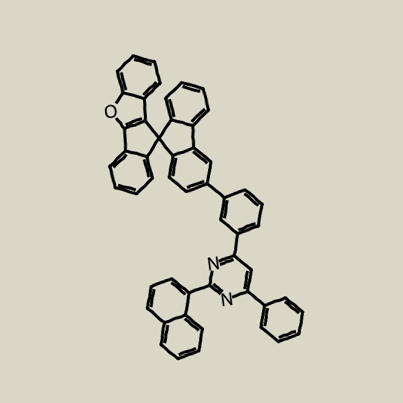 c1ccc(-c2cc(-c3cccc(-c4ccc5c(c4)-c4ccccc4C54c5ccccc5-c5oc6ccccc6c54)c3)nc(-c3cccc4ccccc34)n2)cc1